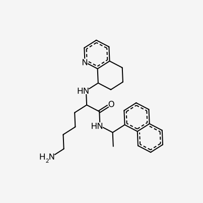 CC(NC(=O)C(CCCCN)NC1CCCc2cccnc21)c1cccc2ccccc12